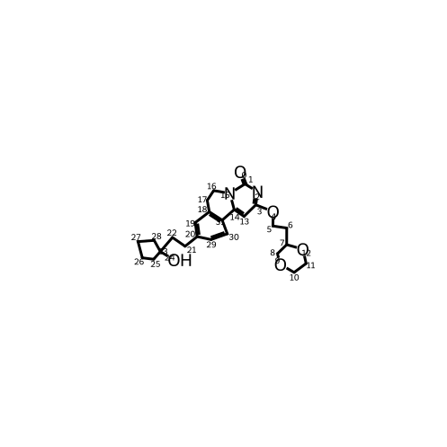 O=c1nc(OCCC2COCCO2)cc2n1CCc1cc(CCC3(O)CCCC3)ccc1-2